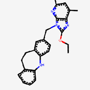 CCOc1nc2c(C)cc(C)nc2n1Cc1ccc2c(c1)CCc1ccccc1N2